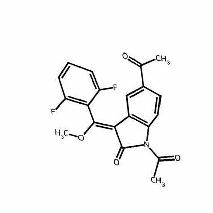 COC(=C1C(=O)N(C(C)=O)c2ccc(C(C)=O)cc21)c1c(F)cccc1F